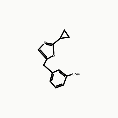 COc1cccc(Cc2cnc(C3CC3)s2)c1